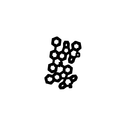 c1ccc(-c2ccc(-c3ccccc3N(c3ccc4c(c3)C3(c5ccccc5Oc5ccccc53)c3ccccc3-4)c3cccc4c3-c3cc5ccccc5cc3C43c4ccccc4Sc4ccccc43)cc2)cc1